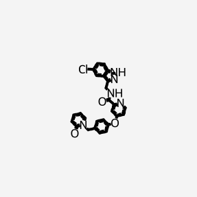 O=C(NCc1n[nH]c2ccc(Cl)cc12)c1cc(Oc2ccc(Cn3ccccc3=O)cc2)ccn1